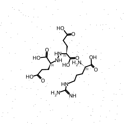 N=C(N)NCCC[C@H](N)C(=O)O.O=C(O)CC[C@H](NN[C@@H](CCC(=O)O)C(=O)O)C(=O)O